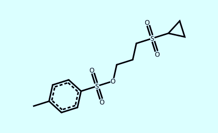 Cc1ccc(S(=O)(=O)OCCCS(=O)(=O)C2CC2)cc1